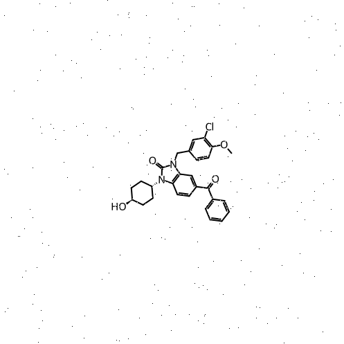 COc1ccc(Cn2c(=O)n([C@H]3CC[C@H](O)CC3)c3ccc(C(=O)c4ccccc4)cc32)cc1Cl